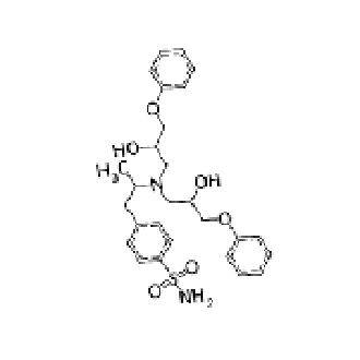 CC(Cc1ccc(S(N)(=O)=O)cc1)N(CC(O)COc1ccccc1)CC(O)COc1ccccc1